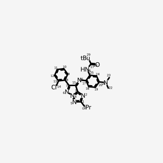 CC(C)c1nc2n(n1)N=C(c1ccccc1Cl)/C2=N/c1ccc(N(C)C)cc1NC(=O)C(C)(C)C